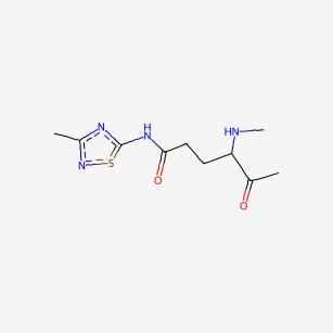 CNC(CCC(=O)Nc1nc(C)ns1)C(C)=O